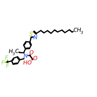 CCCCCCCCCCCc1csc(-c2ccc(C(CC)N(Cc3ccc(C(F)(F)F)cc3)C(=O)C(=O)O)cc2)n1